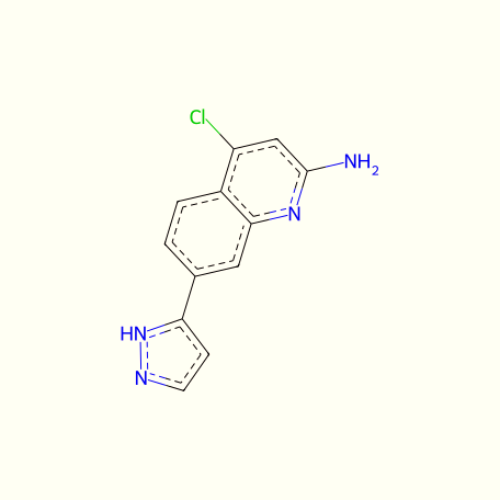 Nc1cc(Cl)c2ccc(-c3ccn[nH]3)cc2n1